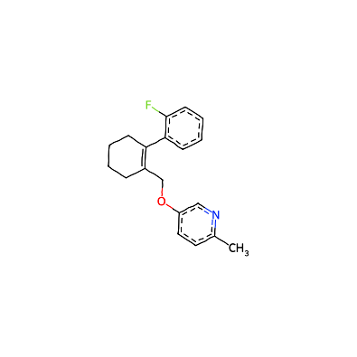 Cc1ccc(OCC2=C(c3ccccc3F)CCCC2)cn1